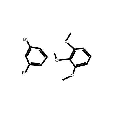 Brc1cccc(Br)c1.COc1cccc(OC)c1OC